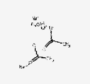 CC(=O)[O-].CC(=O)[O-].O.O.[Na+].[Na+]